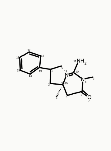 CC(C[C@]1(C)CC(=O)N(C)C(N)=N1)c1ccccc1